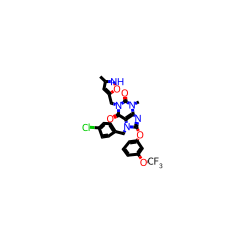 CC1C=C(Cn2c(=O)c3c(nc(Oc4cccc(OC(F)(F)F)c4)n3Cc3ccc(Cl)cc3)n(C)c2=O)ON1